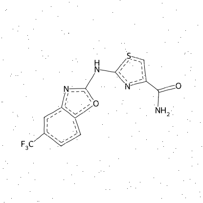 NC(=O)c1csc(Nc2nc3cc(C(F)(F)F)ccc3o2)n1